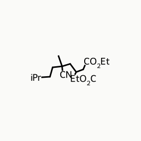 CCOC(=O)CC(CC(C)(C#N)CCC(C)C)C(=O)OCC